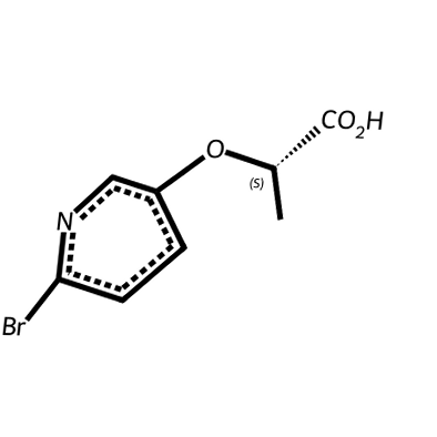 C[C@H](Oc1ccc(Br)nc1)C(=O)O